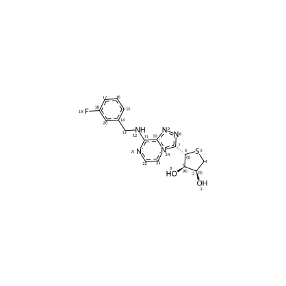 O[C@@H]1[C@H](O)CS[C@H]1c1nnc2c(NCc3cccc(F)c3)nccn12